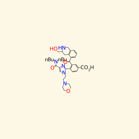 CCCCN(CCCC)C(=O)c1cn(CCN2CCOCC2)c(-c2ccc(C(=O)O)cc2C(=O)c2cccc3c2CC(CO)NC3)n1